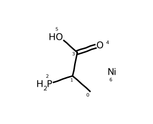 CC(P)C(=O)O.[Ni]